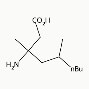 CCCCC(C)CC(C)(N)CC(=O)O